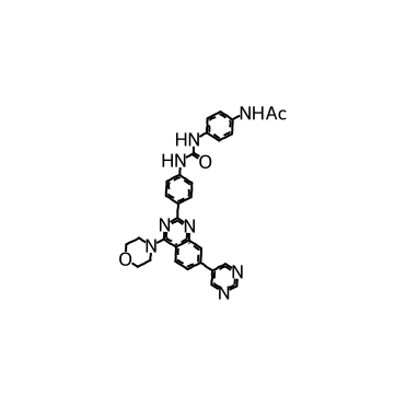 CC(=O)Nc1ccc(NC(=O)Nc2ccc(-c3nc(N4CCOCC4)c4ccc(-c5cncnc5)cc4n3)cc2)cc1